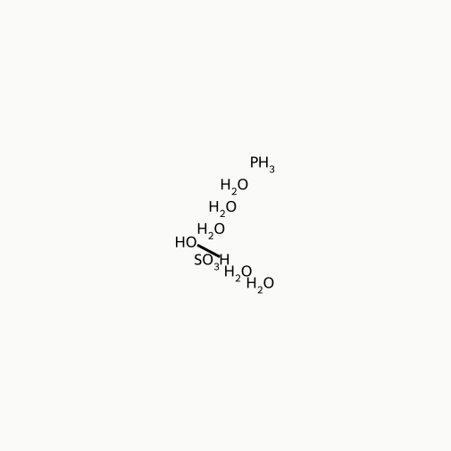 O.O.O.O.O.O=S(=O)(O)O.P